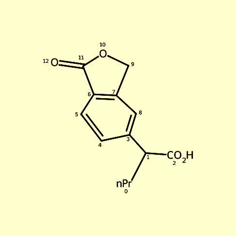 CCCC(C(=O)O)c1ccc2c(c1)COC2=O